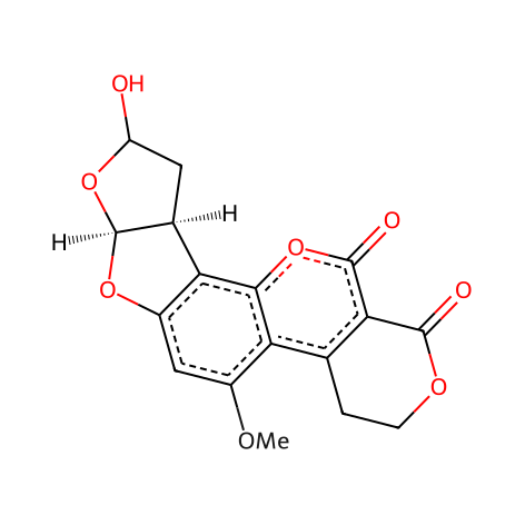 COc1cc2c(c3oc(=O)c4c(c13)CCOC4=O)[C@@H]1CC(O)O[C@@H]1O2